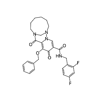 O=C(NCc1ccc(F)cc1F)c1cn2c(c(OCc3ccccc3)c1=O)C(=O)N1CCCCCCN2C1